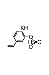 C=Cc1cccc(O[SH](=O)=O)c1.[KH]